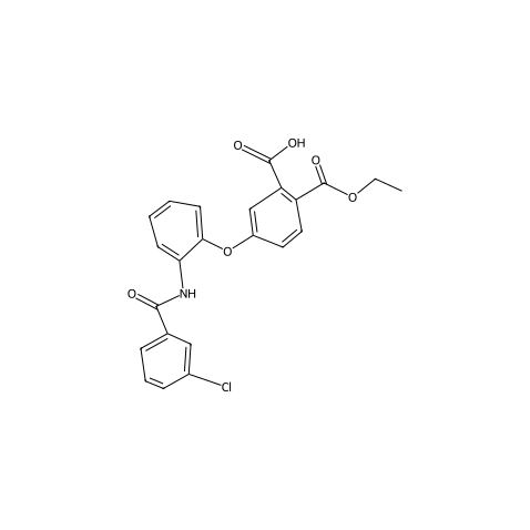 CCOC(=O)c1ccc(Oc2ccccc2NC(=O)c2cccc(Cl)c2)cc1C(=O)O